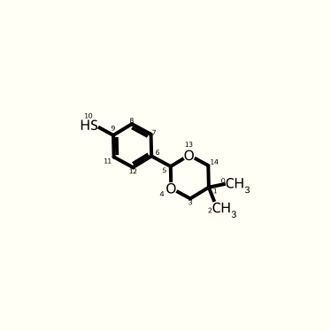 CC1(C)COC(c2ccc(S)cc2)OC1